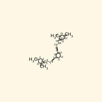 Cc1cc[n+](CCCC#Cc2cccc(C#CCCC[n+]3ccc(C)cc3C)c2)c(C)c1